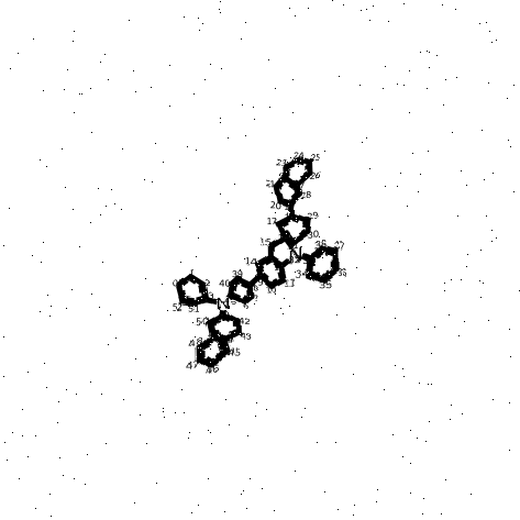 c1ccc(N(c2ccc(-c3ccc4c(c3)Cc3cc(-c5ccc6ccccc6c5)ccc3N4c3ccccc3)cc2)c2ccc3ccccc3c2)cc1